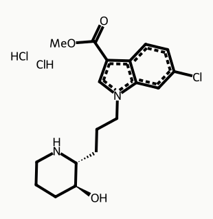 COC(=O)c1cn(CCC[C@H]2NCCC[C@@H]2O)c2cc(Cl)ccc12.Cl.Cl